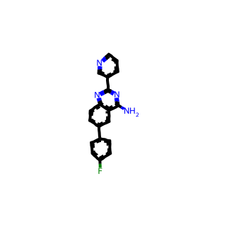 Nc1nc(-c2cccnc2)nc2ccc(-c3ccc(F)cc3)cc12